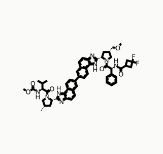 COC[C@H]1C[C@@H](c2nc3ccc4cc(-c5ccc6c(ccc7nc([C@@H]8C[C@H](C)CN8C(=O)[C@@H](NC(=O)OC)C(C)C)[nH]c76)c5)ccc4c3[nH]2)N(C(=O)[C@H](NC(=O)C2CC(F)(F)C2)c2ccccc2)C1